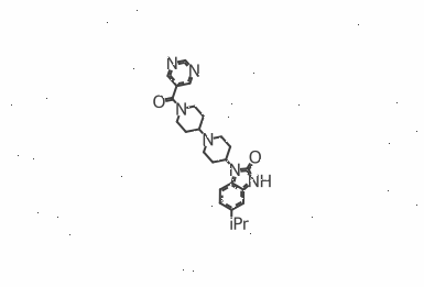 CC(C)c1ccc2c(c1)[nH]c(=O)n2C1CCN(C2CCN(C(=O)c3cncnc3)CC2)CC1